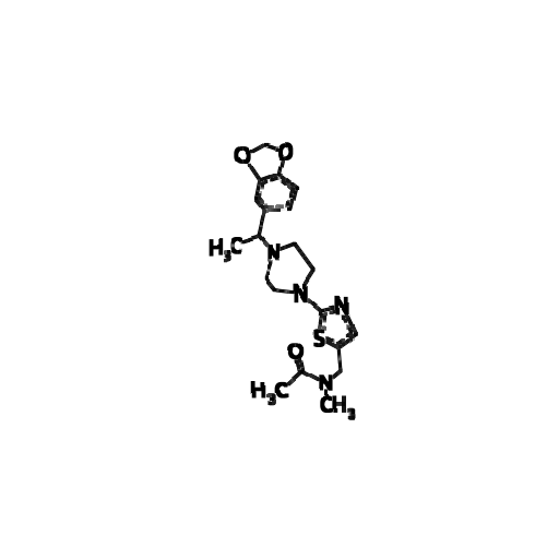 CC(=O)N(C)Cc1cnc(N2CCN(C(C)c3ccc4c(c3)OCO4)CC2)s1